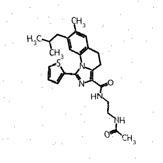 CC(=O)NCCNC(=O)c1nc(-c2cccs2)n2c1CCc1cc(C)c(CC(C)C)cc1-2